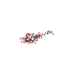 CCCCCCC(=O)OOC(=O)C1(C(C)C)CCC(C)(C2O[C@H](CO)[C@@H](O)[C@H](O)[C@H]2O)CC1